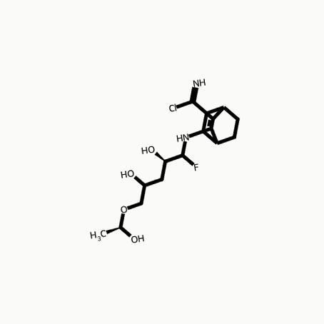 C[C@H](O)OCC(O)C[C@@H](O)C(F)NC1=C(C(=N)Cl)C2CCC1CC2